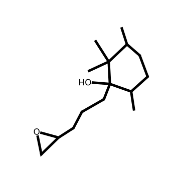 CC1CCC(C)C(O)(CCCC2CO2)C1(C)C